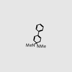 CNC1(NC)C=CC(c2ccccc2)=CC1